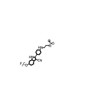 N#Cc1c(-c2ccc(NCCC[SH](=O)=O)cc2)[nH]c2cc(OC(F)(F)F)ccc12